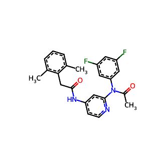 CC(=O)N(c1cc(F)cc(F)c1)c1cc(NC(=O)Cc2c(C)cccc2C)ccn1